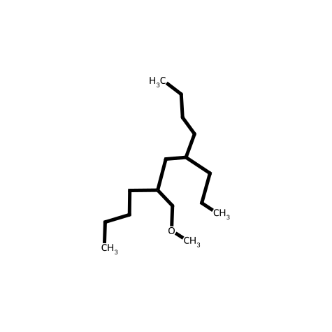 CCCCC(CCC)CC(CCCC)COC